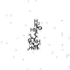 CCNC(C(=O)NC(CCCNC(N)=O)C(C)=O)C(C)C